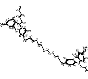 CCCCCC(c1ccc(CCCCCCCCCCCCCc2ccc(C(CCCCC)c3ccc(N)cc3C)cc2)cc1)c1ccc(N)cc1C